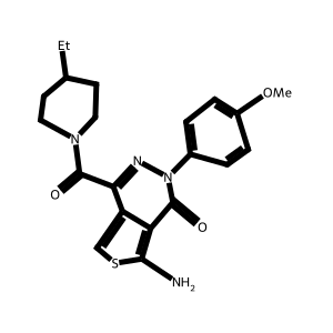 CCC1CCN(C(=O)c2nn(-c3ccc(OC)cc3)c(=O)c3c(N)scc23)CC1